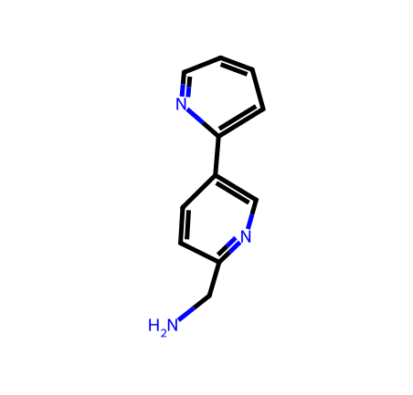 NCc1ccc(-c2ccccn2)cn1